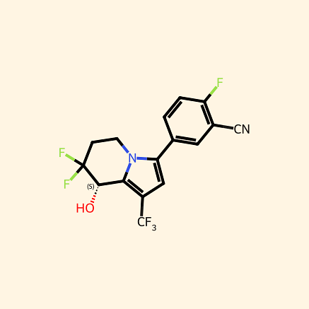 N#Cc1cc(-c2cc(C(F)(F)F)c3n2CCC(F)(F)[C@H]3O)ccc1F